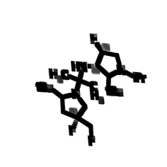 CC(C)N1C[C@H](F)[C@@H](NC(C)(C)N2C[C@@](F)(CF)CC2C(C)(C)C)C1C(C)(C)C